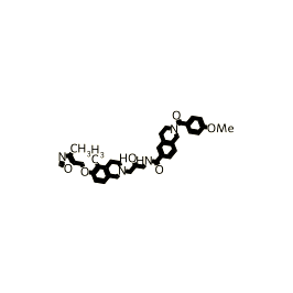 COc1ccc(C(=O)N2CCc3cc(C(=O)NCC(O)CN4CCc5c(ccc(OCc6ocnc6C)c5C)C4)ccc3C2)cc1